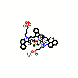 COS(=O)CCCCNc1ccc2ccccc2c1C(C)(C)C/C=C/C1=C(N(C)[S+]([O-])C(F)(F)F)C(=C/C=C2/N(CCCCS(=O)(=O)O)c3ccc4ccccc4c3C2(C)C)/c2ccccc21